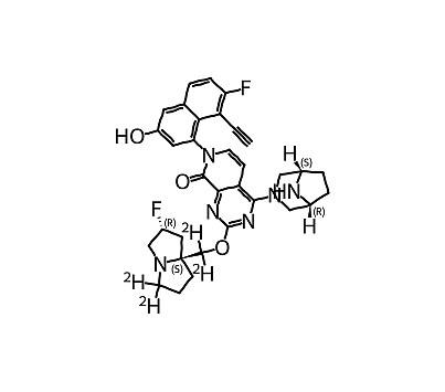 [2H]C1([2H])CC[C@@]2(C([2H])([2H])Oc3nc(N4C[C@H]5CC[C@@H](C4)N5)c4ccn(-c5cc(O)cc6ccc(F)c(C#C)c56)c(=O)c4n3)C[C@@H](F)CN12